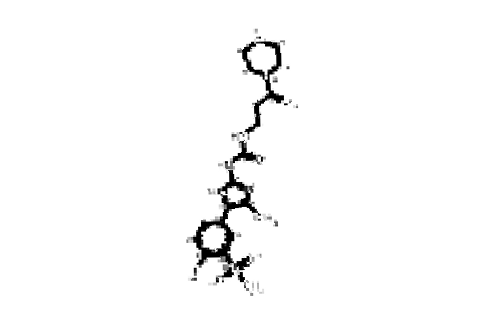 Cc1nc(NC(=O)NCCC(=O)N2CCOCC2)sc1-c1ccc(F)c(S(C)(=O)=O)c1